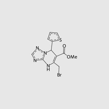 COC(=O)C1=C(CBr)Nc2ncnn2C1c1cccs1